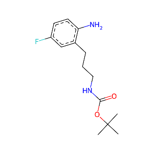 CC(C)(C)OC(=O)NCCCc1cc(F)ccc1N